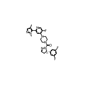 Cc1cnn(C)c1-c1cc(N2CCN(C(=O)N3N=CC[C@H]3c3cc(F)cc(F)c3)CC2)c(F)cn1